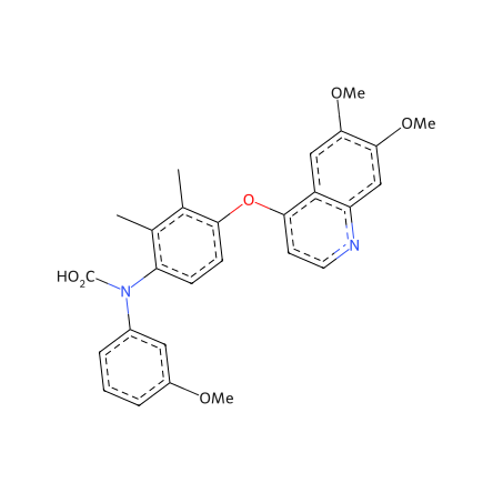 COc1cccc(N(C(=O)O)c2ccc(Oc3ccnc4cc(OC)c(OC)cc34)c(C)c2C)c1